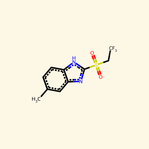 Cc1ccc2[nH]c(S(=O)(=O)CC(F)(F)F)nc2c1